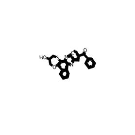 O=C(c1ccccc1)c1ccc2nc3c4c(c5ccccc5c3nc2c1)OCC(O)CS4